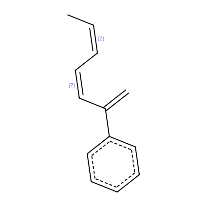 C=C(/C=C\C=C/C)c1ccccc1